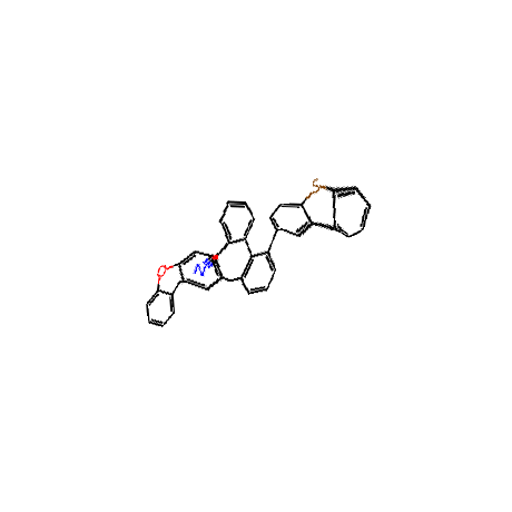 N#Cc1ccccc1-c1c(-c2ccc3oc4ccccc4c3c2)cccc1-c1ccc2sc3ccccc3c2c1